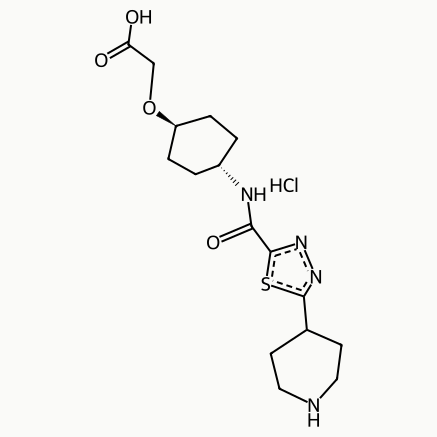 Cl.O=C(O)CO[C@H]1CC[C@H](NC(=O)c2nnc(C3CCNCC3)s2)CC1